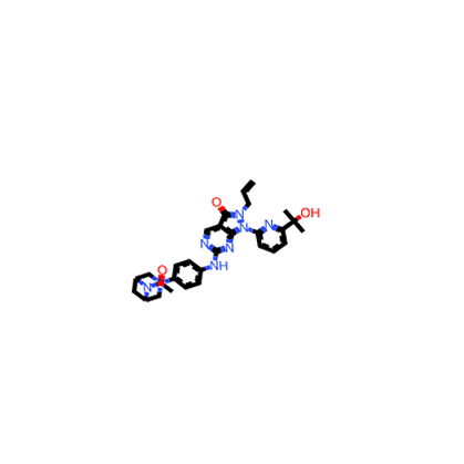 C=CCn1c(=O)c2cnc(Nc3ccc(N4CC5CC(C4)N5C(C)=O)cc3)nc2n1-c1cccc(C(C)(C)O)n1